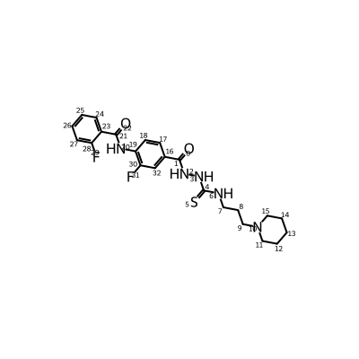 O=C(NNC(=S)NCCCN1CCCCC1)c1ccc(NC(=O)c2ccccc2F)c(F)c1